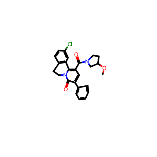 COC1CCN(C(=O)c2cc(-c3ccccc3)c(=O)n3c2-c2cc(Cl)ccc2CC3)C1